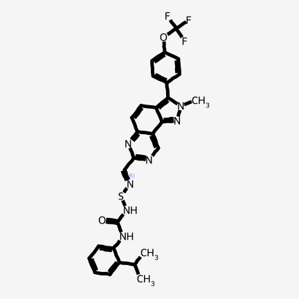 CC(C)c1ccccc1NC(=O)NS/N=C/c1ncc2c(ccc3c(-c4ccc(OC(F)(F)F)cc4)n(C)nc32)n1